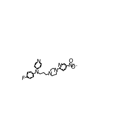 O=[N+]([O-])c1ccc(N2CCN(CCCN(c3ccncc3)c3ccc(F)cc3)CC2)nc1